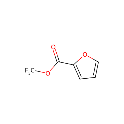 O=C(OC(F)(F)F)c1ccco1